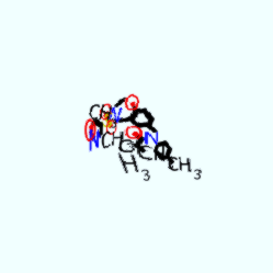 Cc1ccc(N(Cc2ccc3c(c2)CN(S(=O)(=O)c2c(C)noc2C)CCO3)C(=O)C(C)C)cc1